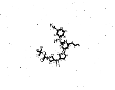 CCCc1cc(N2CCC(NC3CN(C(=O)OC(C)(C)C)C3)C2)nc(Nc2cccc(C#N)c2)n1